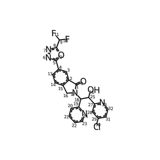 O=C1c2cc(-c3nnc(C(F)F)o3)ccc2CN1C(c1ccccn1)C(O)c1cc(Cl)ccn1